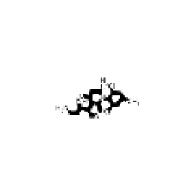 Cc1cc(Cl)c(-n2c(C)cc(=O)c3c(C(=N)/C=C\N)cncc32)c(Cl)c1